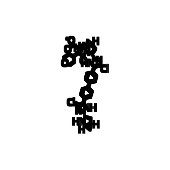 COC(=O)N[C@H](C(=O)N1[C@@H]2C[C@@H]2C[C@H]1c1nc(Cl)c(-c2ccc(-c3ccc(-c4[nH]c([C@@H]5C[C@H]6C[C@H]6N5)nc4Cl)cc3)cc2)[nH]1)C1CCOCC1